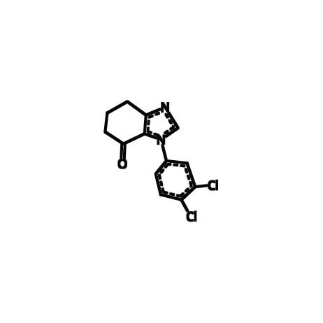 O=C1CCCc2ncn(-c3ccc(Cl)c(Cl)c3)c21